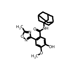 COc1cc(-c2noc(C)n2)c(C(=O)NC23CC4CC(CC(C4)C2)C3)cc1O